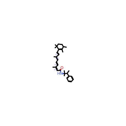 CC1=C(/C=C/C(C)=C/C=C/C(C)=C\C(=O)NC(C)(C)C(C)c2ccccc2)C(C)(C)CCC1C